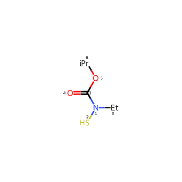 CCN(S)C(=O)OC(C)C